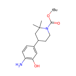 CC(C)(C)OC(=O)N1CCC(c2ccc(N)c(O)c2)CC1(C)C